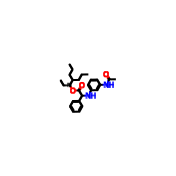 CCCC(CCC)[C@H](CC)OC(=O)C(Nc1cccc(NC(C)=O)c1)c1ccccc1